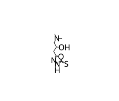 CN(C)CC(O)Cc1n[nH]c(=S)o1